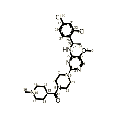 COc1cnc(N2CCN(C(=O)C3CCN(C)CC3)CC2)nc1N[C@H](C)c1ccc(Cl)cc1Cl